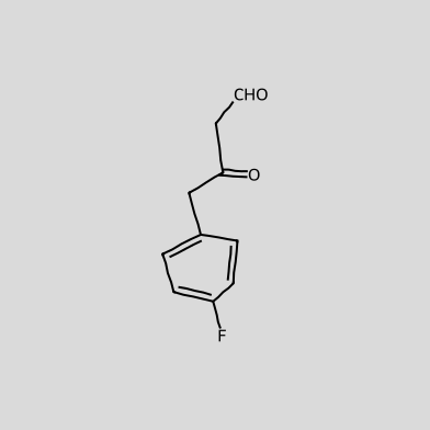 O=CCC(=O)Cc1ccc(F)cc1